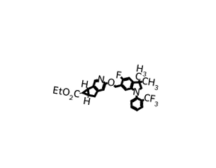 CCOC(=O)[C@H]1[C@@H]2Cc3cc(OCc4cc5c(cc4F)C(C)(C)CN5c4ccccc4C(F)(F)F)ncc3[C@@H]21